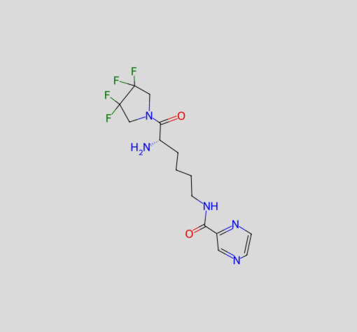 N[C@@H](CCCCNC(=O)c1cnccn1)C(=O)N1CC(F)(F)C(F)(F)C1